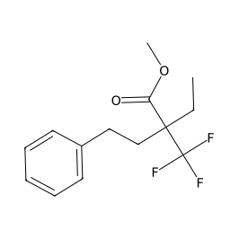 CCC(CCc1ccccc1)(C(=O)OC)C(F)(F)F